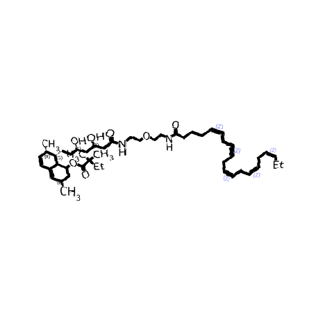 CC/C=C\C/C=C\C/C=C\C/C=C\C/C=C\CCCC(=O)NCCOCCNC(=O)C[C@H](O)C[C@@H](O)CC[C@@H]1C2C(=C[C@H](C)CC2OC(=O)C(C)(C)CC)C=C[C@@H]1C